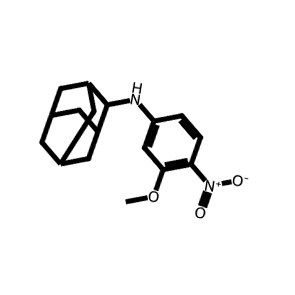 COc1cc(NC2C3CC4CC(C3)CC2C4)ccc1[N+](=O)[O-]